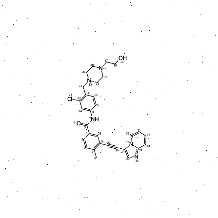 Cc1ccc(C(=O)Nc2ccc(CN3CCN(CCO)CC3)c(Cl)c2)cc1C#Cc1cnc2cccnn12